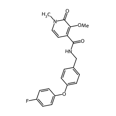 COc1c(C(=O)NCc2ccc(Oc3ccc(F)cc3)cc2)ccn(C)c1=O